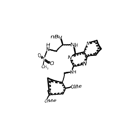 CCCCC(CNS(C)(=O)=O)Nc1nc(NCc2ccc(OC)cc2OC)nc2cccnc12